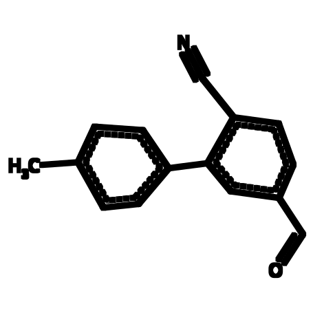 Cc1ccc(-c2cc(C=O)ccc2C#N)cc1